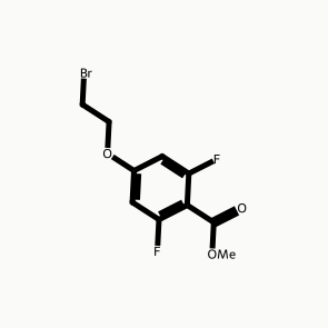 COC(=O)c1c(F)cc(OCCBr)cc1F